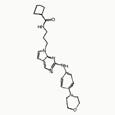 O=C(NCCCn1ccc2cnc(Nc3ccc(N4CCOCC4)cc3)nc21)C1CCC1